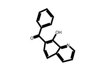 O=C(c1ccccc1)c1ccc2cccnc2c1O